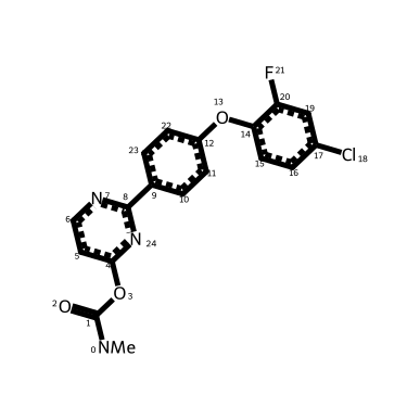 CNC(=O)Oc1ccnc(-c2ccc(Oc3ccc(Cl)cc3F)cc2)n1